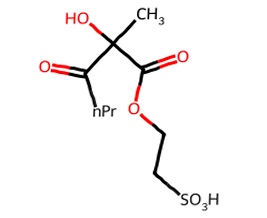 CCCC(=O)C(C)(O)C(=O)OCCS(=O)(=O)O